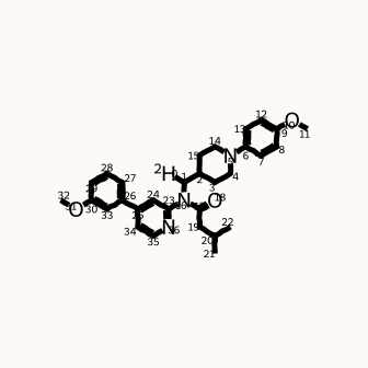 [2H]C(C1CCN(c2ccc(OC)cc2)CC1)N(C(=O)CC(C)C)c1cc(-c2cccc(OC)c2)ccn1